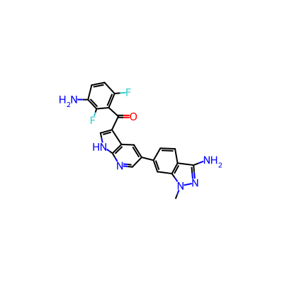 Cn1nc(N)c2ccc(-c3cnc4[nH]cc(C(=O)c5c(F)ccc(N)c5F)c4c3)cc21